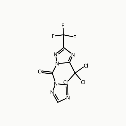 O=C(n1cncn1)n1nc(C(F)(F)F)nc1C(Cl)(Cl)Cl